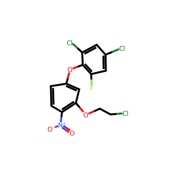 O=[N+]([O-])c1ccc(Oc2c(F)cc(Cl)cc2Cl)cc1OCCCl